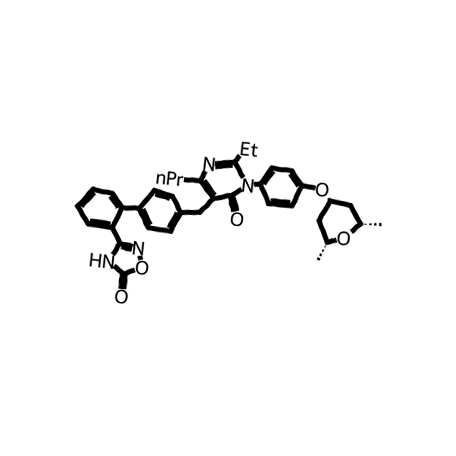 CCCc1nc(CC)n(-c2ccc(O[C@H]3C[C@@H](C)O[C@@H](C)C3)cc2)c(=O)c1Cc1ccc(-c2ccccc2-c2noc(=O)[nH]2)cc1